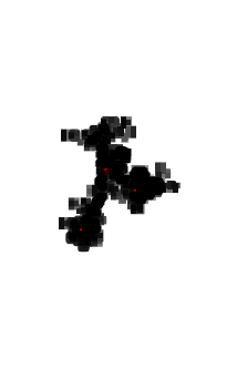 CCCc1cc2c(cc1C)C(c1ccccc1C(=O)N(C)CCCC(=O)N1CCCC1C(=O)N1CCCC1C(=O)NC(CCCSSCCC(=O)NCC#CC1=CN3C(=C(OP(=O)(O)OP(=O)(O)OP(=O)(O)O)[C@H]4O[C@@H]3CC4O)N=C1N)C(=O)NC(CC(=O)O)C(=O)NC(CC(=O)O)C(=O)O)C1C=C(C)/C(=N/CC)C=C1C2